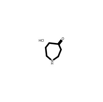 Cl.O=C1CCCNCC1